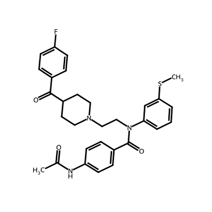 CSc1cccc(N(CCN2CCC(C(=O)c3ccc(F)cc3)CC2)C(=O)c2ccc(NC(C)=O)cc2)c1